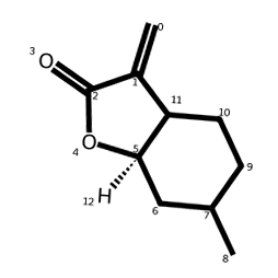 C=C1C(=O)O[C@@H]2CC(C)CCC12